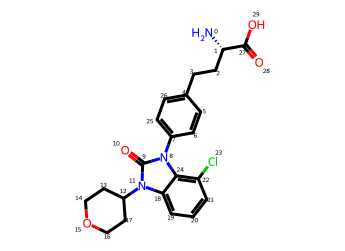 N[C@@H](CCc1ccc(-n2c(=O)n(C3CCOCC3)c3cccc(Cl)c32)cc1)C(=O)O